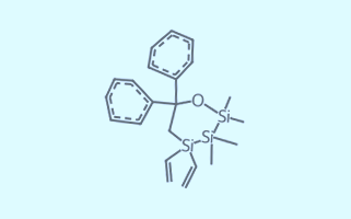 C=C[Si]1(C=C)CC(c2ccccc2)(c2ccccc2)O[Si](C)(C)[Si]1(C)C